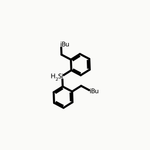 CCC(C)Cc1ccccc1[SiH2]c1ccccc1CC(C)CC